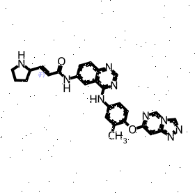 Cc1cc(Nc2ncnc3ccc(NC(=O)/C=C/C4CCCN4)cc23)ccc1Oc1cc2nncn2cn1